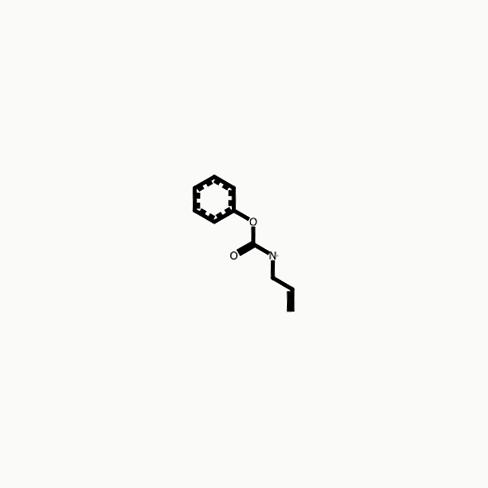 C=CC[N]C(=O)Oc1ccccc1